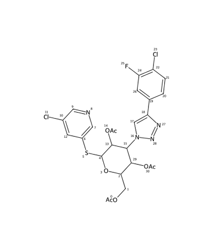 CC(=O)OCC1OC(Sc2cncc(Cl)c2)C(OC(C)=O)C(n2cc(-c3ccc(Cl)c(F)c3)nn2)C1OC(C)=O